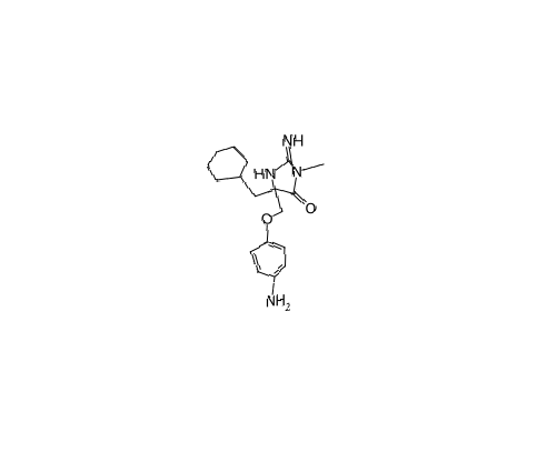 CN1C(=N)NC(COc2ccc(N)cc2)(CC2CCCCC2)C1=O